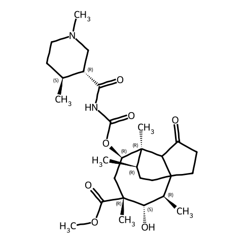 COC(=O)[C@]1(C)C[C@@H](OC(=O)NC(=O)[C@H]2CN(C)CC[C@@H]2C)[C@@]2(C)C3C(=O)CCC3(CC[C@H]2C)[C@@H](C)[C@@H]1O